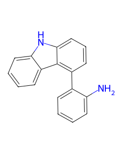 Nc1ccccc1-c1cccc2[nH]c3ccccc3c12